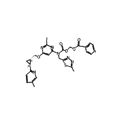 Cc1ccc([C@H]2C[C@@H]2COc2cc(N(Cc3nnc(C)s3)C(=O)OCOC(=O)c3ccncc3)nc(C)n2)nc1